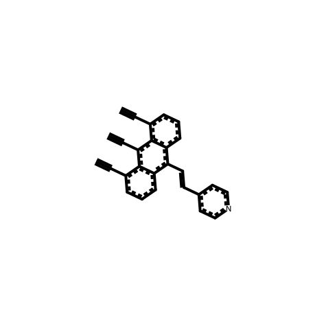 C#Cc1cccc2c(C=Cc3ccncc3)c3cccc(C#C)c3c(C#C)c12